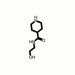 O=C(NCCO)C1CCNCC1